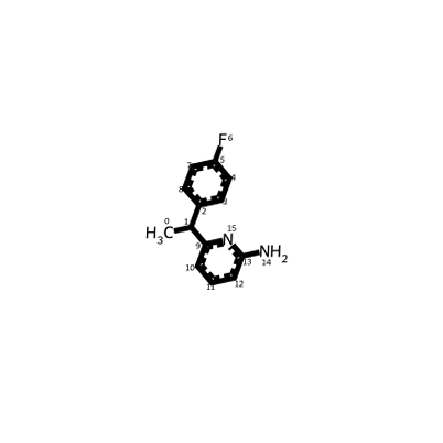 CC(c1ccc(F)cc1)c1cccc(N)n1